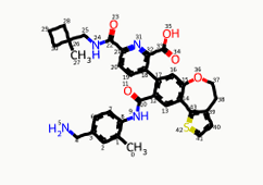 Cc1cc(CN)ccc1NC(=O)c1cc2c(cc1-c1ccc(C(=O)NCC3(C)CCC3)nc1C(=O)O)OCCc1ccsc1-2